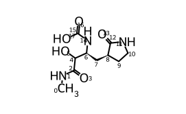 CNC(=O)C(O)[C@H](C[C@@H]1CCNC1=O)NC(=O)O